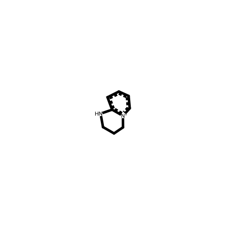 c1cc[n+]2c(c1)NCCC2